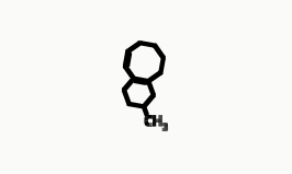 CC1CCC2=C(CCCC/C=C\2)C1